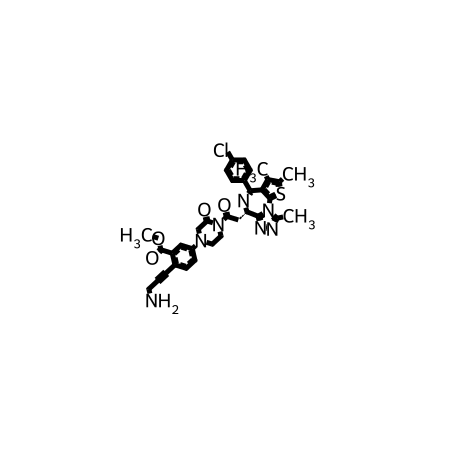 COC(=O)c1cc(N2CCN(C(=O)C[C@@H]3N=C(c4ccc(Cl)cc4)c4c(sc(C)c4C)-n4c(C)nnc43)C(=O)C2)ccc1C#CCN